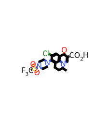 CC1CCc2c(N3CCN(S(=O)(=O)C(F)(F)F)CC3)c(Cl)cc3c(=O)c(C(=O)O)cn1c23